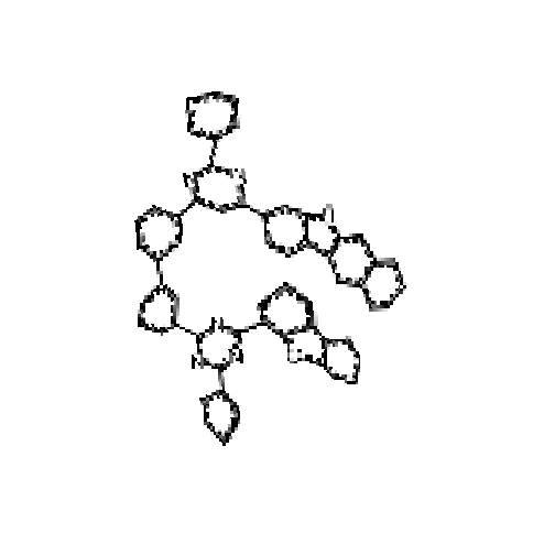 c1ccc(-c2nc(-c3cccc(-c4cccc(-c5nc(-c6ccccc6)nc(-c6cccc7c6oc6ccccc67)n5)c4)c3)cc(-c3ccc4c(c3)oc3cc5ccccc5cc34)n2)cc1